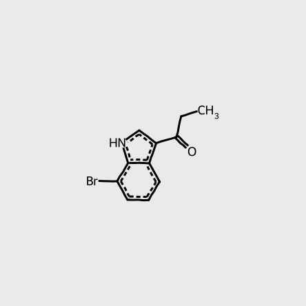 CCC(=O)c1c[nH]c2c(Br)cccc12